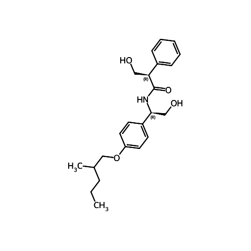 CCCC(C)COc1ccc([C@H](CO)NC(=O)[C@@H](CO)c2ccccc2)cc1